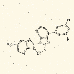 CCSc1nn2c(-c3cc(F)cc(Cl)c3)ccnc2c1-c1nc2cc(C(F)(F)F)cnc2n1C